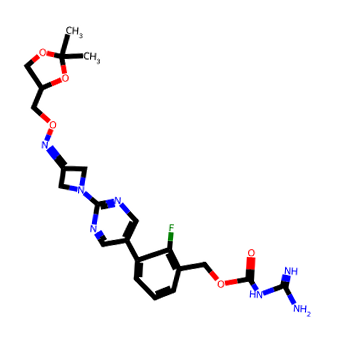 CC1(C)OCC(CON=C2CN(c3ncc(-c4cccc(COC(=O)NC(=N)N)c4F)cn3)C2)O1